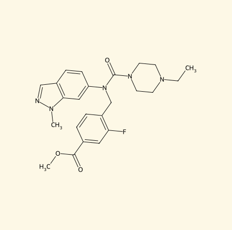 CCN1CCN(C(=O)N(Cc2ccc(C(=O)OC)cc2F)c2ccc3cnn(C)c3c2)CC1